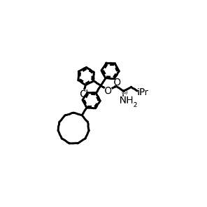 CC(C)C[C@H](N)C(=O)OC(c1ccccc1)(c1ccc(C2CCCCCCCCCC2)cc1)c1ccccc1Cl